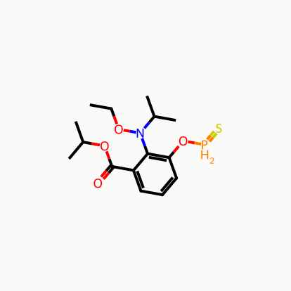 CCON(c1c(O[PH2]=S)cccc1C(=O)OC(C)C)C(C)C